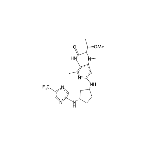 CO[C@H](C)C1C(=O)Nc2c(C)nc(N[C@@H]3CC[C@H](Nc4cnc(C(F)(F)F)cn4)C3)nc2N1C